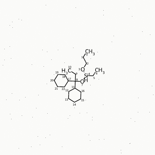 CCCO[SiH](CC)OC(CC)(C1CCCCC1)C1CCCCC1